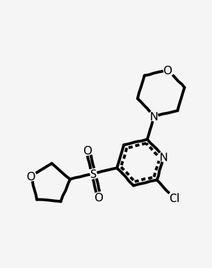 O=S(=O)(c1cc(Cl)nc(N2CCOCC2)c1)C1CCOC1